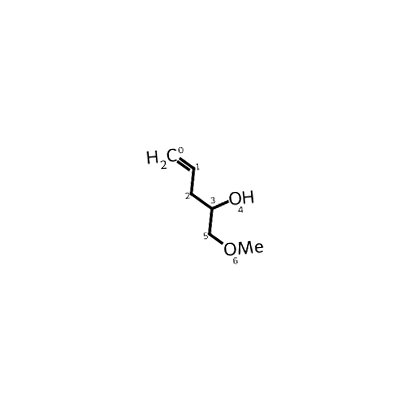 C=CCC(O)COC